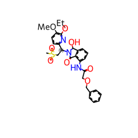 CCOc1nc([C@H](CS(C)(=O)=O)N2C(=O)c3c(NC(=O)COCc4ccccc4)cccc3C2O)ccc1OC